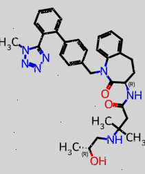 C[C@@H](O)CNC(C)(C)CC(=O)N[C@@H]1CCc2ccccc2N(Cc2ccc(-c3ccccc3-c3nnnn3C)cc2)C1=O